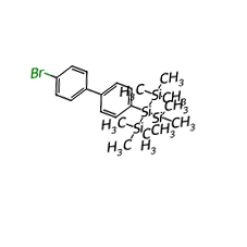 C[Si](C)(C)[Si](c1ccc(-c2ccc(Br)cc2)cc1)([Si](C)(C)C)[Si](C)(C)C